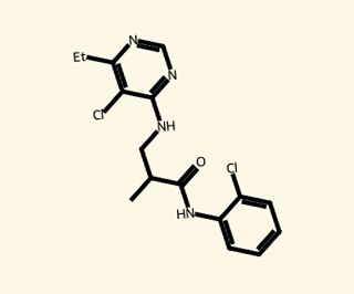 CCc1ncnc(NCC(C)C(=O)Nc2ccccc2Cl)c1Cl